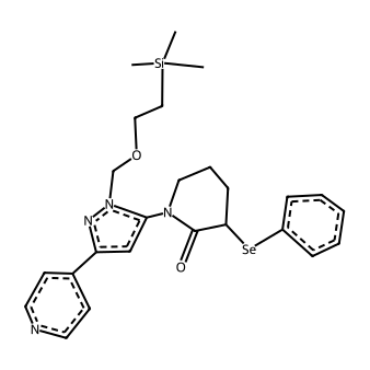 C[Si](C)(C)CCOCn1nc(-c2ccncc2)cc1N1CCCC([Se]c2ccccc2)C1=O